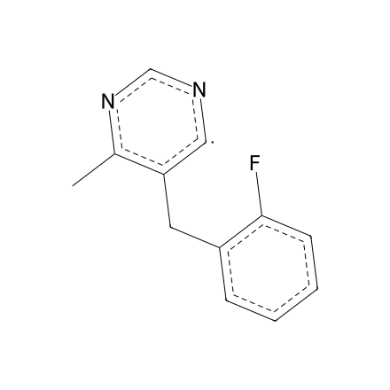 Cc1ncn[c]c1Cc1ccccc1F